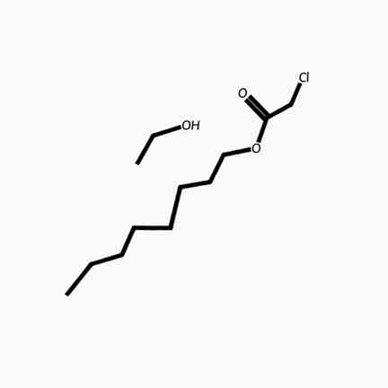 CCCCCCCCOC(=O)CCl.CCO